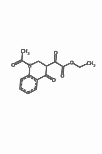 CCOC(=O)C(=O)C1CN(C(C)=O)c2ccccc2C1=O